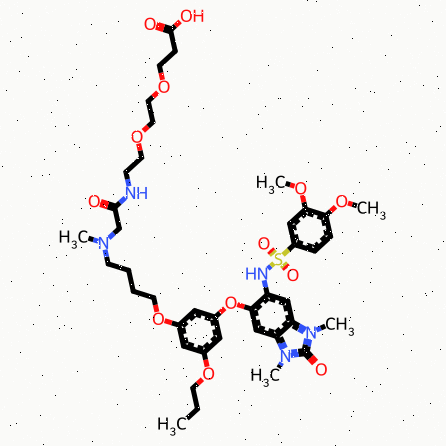 CCCOc1cc(OCCCCN(C)CC(=O)NCCOCCOCCC(=O)O)cc(Oc2cc3c(cc2NS(=O)(=O)c2ccc(OC)c(OC)c2)n(C)c(=O)n3C)c1